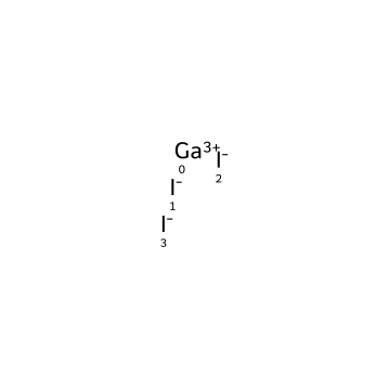 [Ga+3].[I-].[I-].[I-]